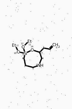 C=CCC1CNCCC[Si](OCC)(OCC)O1